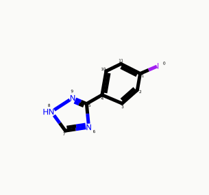 Ic1ccc(-c2nc[nH]n2)cc1